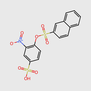 O=[N+]([O-])c1cc(S(=O)(=O)O)ccc1OS(=O)(=O)c1ccc2ccccc2c1